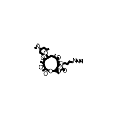 CC1CC(N(C)C)CC(O[C@H]2C(C)C[C@@H](C)C(=O)[C@H](C)[C@H]3N(CCCCN=[N+]=[N-])C(=O)O[C@@]34C(C)C4OC(=O)C(C)C(=O)C2C)O1